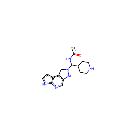 CC(=O)NC(C1CCNCC1)N1Cc2c(cnc3[nH]ccc23)N1